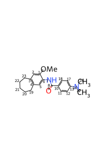 COc1cc2c(cc1NC(=O)c1ccc(N(C)C)cc1)CCCCC2